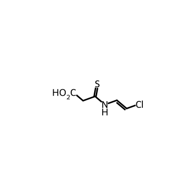 O=C(O)CC(=S)N/C=C/Cl